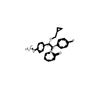 COc1ccc([C@H](OCC2CC2)[C@@H](c2ccc(F)cc2)n2ccccc2=O)cc1